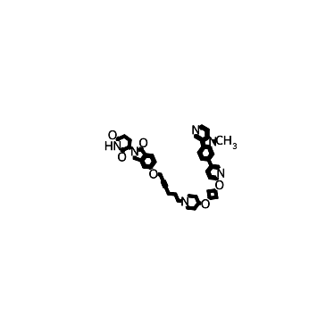 Cn1c2ccncc2c2ccc(-c3ccc(OC4CC(OC5CCN(CCCC#CCOc6ccc7c(c6)CN(C6CCC(=O)NC6=O)C7=O)CC5)C4)nc3)cc21